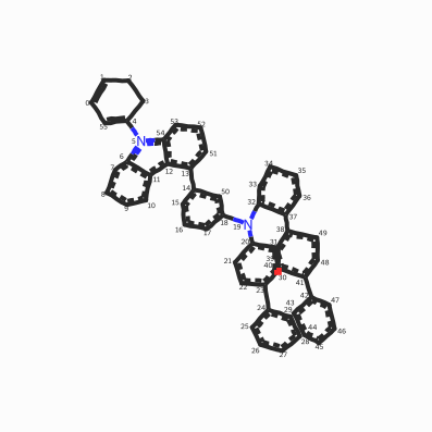 C1=CCCC(n2c3ccccc3c3c(-c4cccc(N(c5ccc(-c6ccccc6)cc5)c5ccccc5-c5ccc(-c6ccccc6)cc5)c4)cccc32)=C1